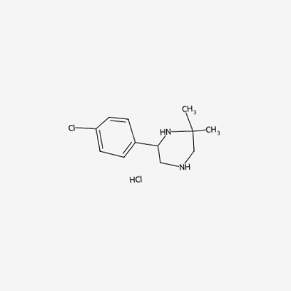 CC1(C)CNCC(c2ccc(Cl)cc2)N1.Cl